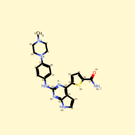 CN1CCN(c2ccc(Nc3nc(-c4ccc(C(N)=O)s4)c4cc[nH]c4n3)cc2)CC1